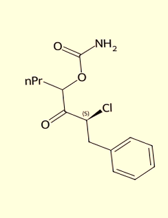 CCCC(OC(N)=O)C(=O)[C@@H](Cl)Cc1ccccc1